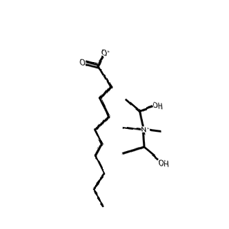 CC(O)[N+](C)(C)C(C)O.CCCCCCCCCC(=O)[O-]